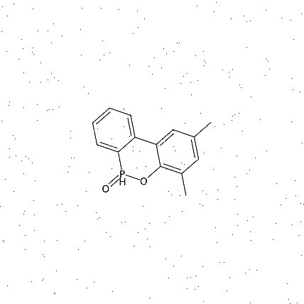 Cc1cc(C)c2c(c1)-c1ccccc1[PH](=O)O2